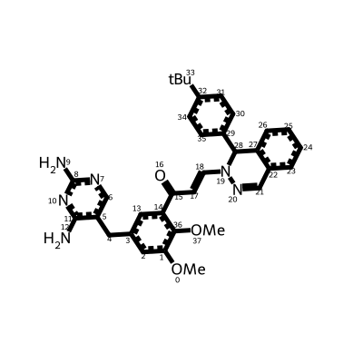 COc1cc(Cc2cnc(N)nc2N)cc(C(=O)/C=C/N2N=Cc3ccccc3C2c2ccc(C(C)(C)C)cc2)c1OC